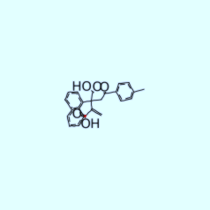 C=C(C(=O)O)C(CC(=O)c1ccc(C)cc1)(C(=O)O)c1cccc2ccccc12